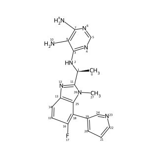 C[C@H](Nc1ncnc(N)c1N)c1nc2ccc(F)c(-c3cccnc3)c2n1C